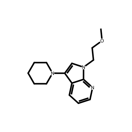 COCCn1cc(N2CCCCC2)c2cccnc21